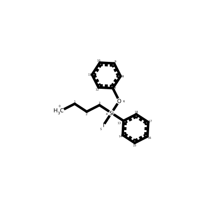 CCCC[Si](I)(Oc1ccccc1)c1ccccc1